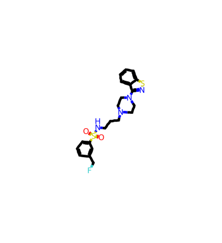 O=S(=O)(NCCCN1CCN(c2nsc3ccccc23)CC1)c1cccc(CF)c1